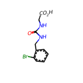 O=C(O)CNC(=O)NCc1ccccc1Br